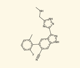 CNCc1nc(-c2n[nH]c3cc(C#N)c(-c4c(C)cccc4F)cc23)n[nH]1